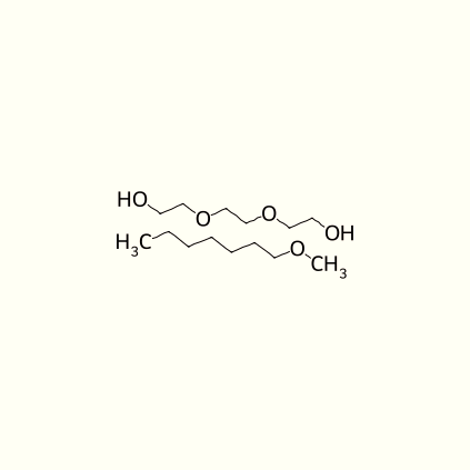 CCCCCCCOC.OCCOCCOCCO